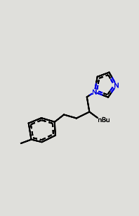 CCCCC(CCc1ccc(C)cc1)Cn1ccnc1